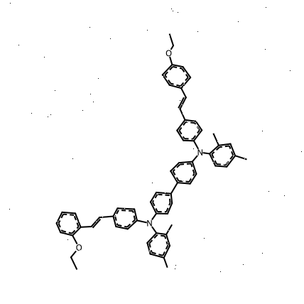 CCOc1ccc(/C=C/c2ccc(N(c3ccc(-c4ccc(N(c5ccc(/C=C/c6ccccc6OCC)cc5)c5ccc(C)cc5C)cc4)cc3)c3ccc(C)cc3C)cc2)cc1